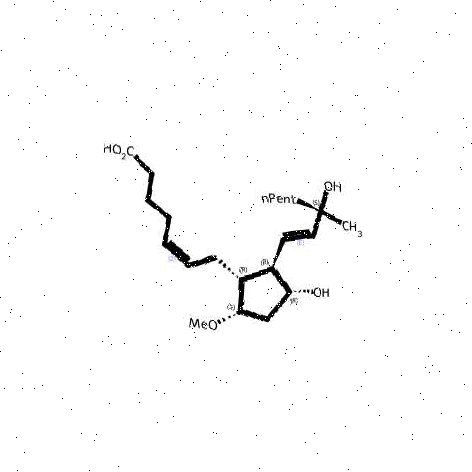 CCCCC[C@](C)(O)/C=C/[C@@H]1[C@@H](C/C=C\CCCC(=O)O)[C@@H](OC)C[C@H]1O